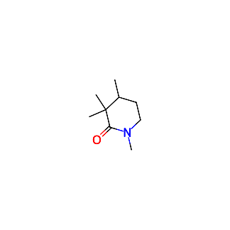 CC1CCN(C)C(=O)C1(C)C